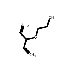 C=CC(C=C)OCCO